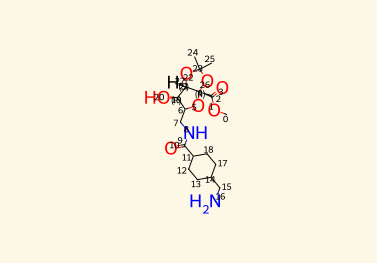 COC(=O)[C@@]12OC(CNC(=O)C3CCC(CN)CC3)[C@@H](O)[C@@H]1OC(C)(C)O2